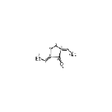 CCC=C1CCC(=CCC)C1=O